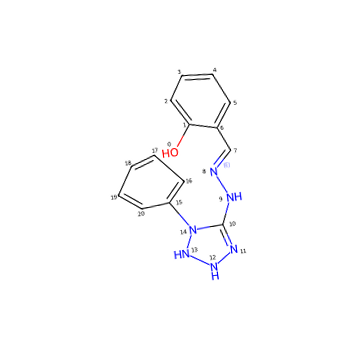 Oc1ccccc1/C=N/NC1=NNNN1c1ccccc1